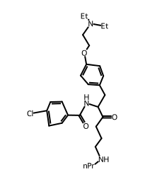 CCCNCCCC(=O)C(Cc1ccc(OCCN(CC)CC)cc1)NC(=O)c1ccc(Cl)cc1